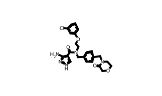 Nc1n[nH]cc1C(=O)N(CCOc1cccc(Cl)c1)Cc1ccc(CN2CCOCC2=O)cc1